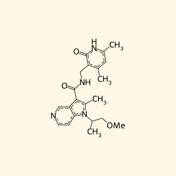 COCC(C)n1c(C)c(C(=O)NCc2c(C)cc(C)[nH]c2=O)c2cnccc21